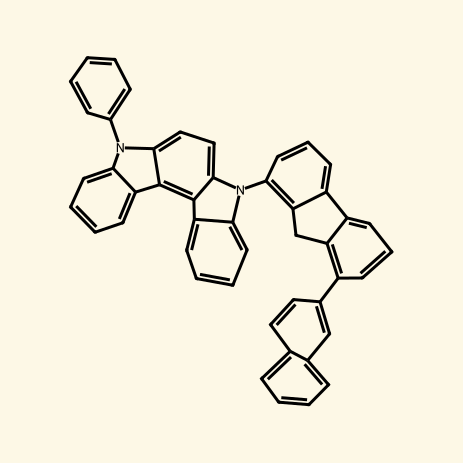 c1ccc(-n2c3ccccc3c3c4c5ccccc5n(-c5cccc6c5Cc5c(-c7ccc8ccccc8c7)cccc5-6)c4ccc32)cc1